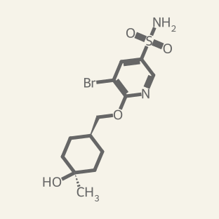 C[C@]1(O)CC[C@@H](COc2ncc(S(N)(=O)=O)cc2Br)CC1